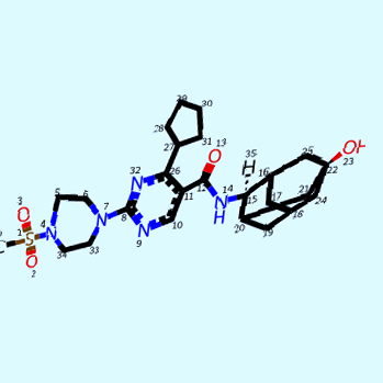 CS(=O)(=O)N1CCN(c2ncc(C(=O)N[C@H]3C4CC5CC3C[C@@](O)(C5)C4)c(C3CCCC3)n2)CC1